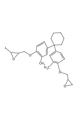 Cc1cc(C2(c3ccc(OCC4OC4I)c(C)c3)CCCCC2)ccc1OCC1CO1